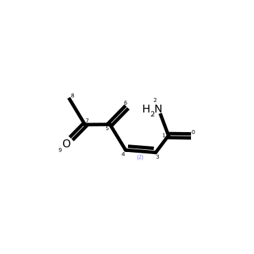 C=C(N)/C=C\C(=C)C(C)=O